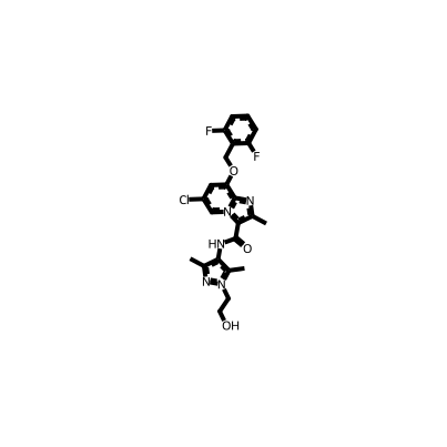 Cc1nn(CCO)c(C)c1NC(=O)c1c(C)nc2c(OCc3c(F)cccc3F)cc(Cl)cn12